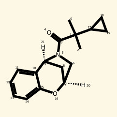 CC(C)(C(=O)N1C[C@@H]2C[C@H]1c1ccccc1O2)C1CC1